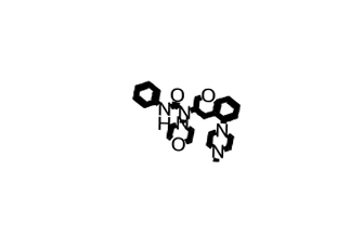 CN1CCN(c2cccc3c2CC(N(C(=O)Nc2ccccc2)N2CCOCC2)CO3)CC1